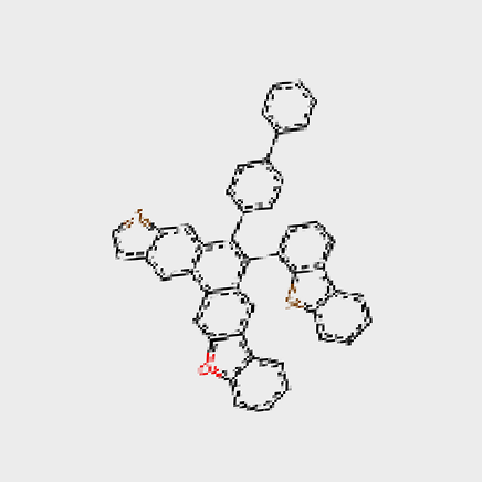 c1ccc(-c2ccc(-c3c(-c4cccc5c4sc4ccccc45)c4cc5c(cc4c4cc6ccsc6cc34)oc3ccccc35)cc2)cc1